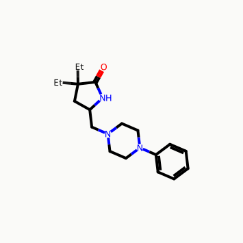 CCC1(CC)CC(CN2CCN(c3ccccc3)CC2)NC1=O